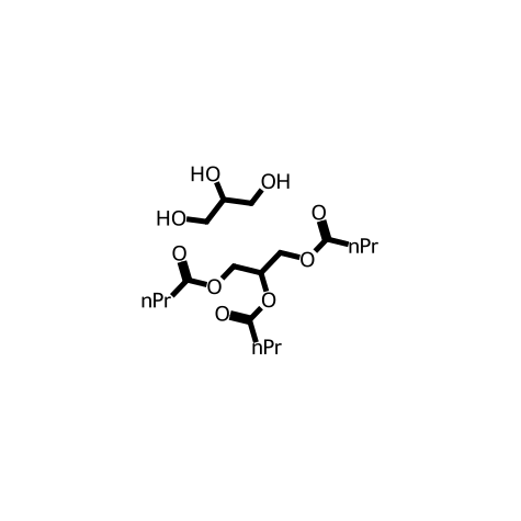 CCCC(=O)OCC(COC(=O)CCC)OC(=O)CCC.OCC(O)CO